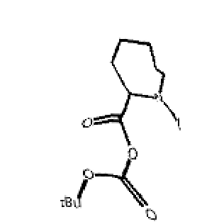 CC(C)(C)OC(=O)OC(=O)C1CCCCN1I